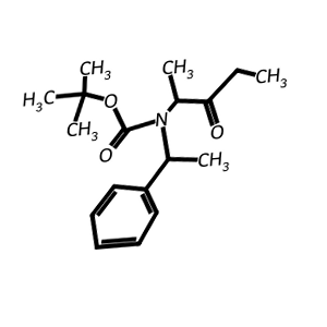 CCC(=O)C(C)N(C(=O)OC(C)(C)C)C(C)c1ccccc1